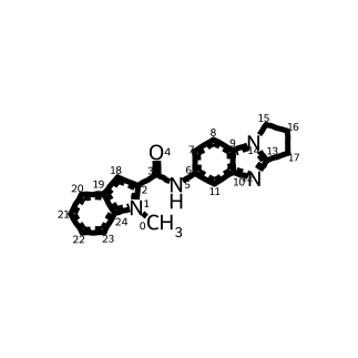 Cn1c(C(=O)Nc2ccc3c(c2)nc2n3CCC2)cc2ccccc21